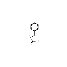 C[C@](O)([CH]c1ccccc1)C(N)=O